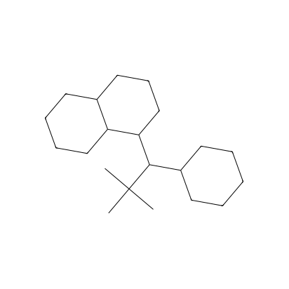 CC(C)(C)C(C1CCCCC1)C1CCCC2CCCCC21